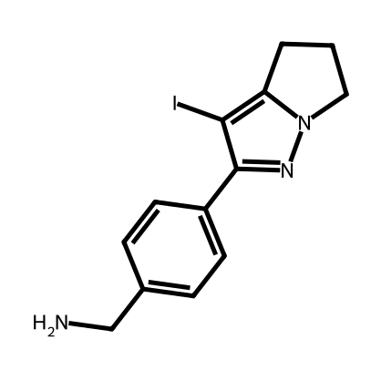 NCc1ccc(-c2nn3c(c2I)CCC3)cc1